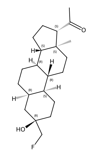 CC(=O)[C@H]1CC[C@H]2[C@@H]3CC[C@@H]4C[C@@](O)(CF)CC[C@@H]4[C@H]3CC[C@]12C